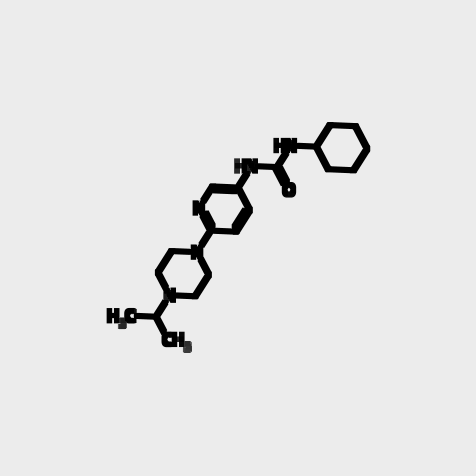 CC(C)N1CCN(c2ccc(NC(=O)NC3CCCCC3)cn2)CC1